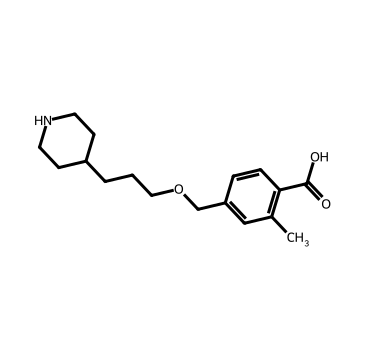 Cc1cc(COCCCC2CCNCC2)ccc1C(=O)O